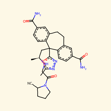 Cc1nnc(C2(C[C@H](C)NCC(=O)N3CCCC3C#N)c3ccc(C(N)=O)cc3CCc3cc(C(N)=O)ccc32)o1